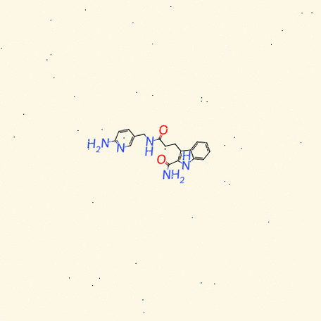 NC(=O)c1[nH]c2ccccc2c1C[CH]C(=O)NCc1ccc(N)nc1